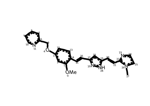 COc1cc(OCc2ccccn2)ccc1C=Cc1cc(/C=C/c2nccn2C)[nH]n1